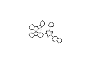 c1ccc(-c2cc(-c3ccc4c(c3)[C@@]3(c5ccccc5-4)c4ccccc4-c4c3sc3ccccc43)nc(-c3ccc4ccccc4c3)n2)cc1